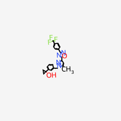 Cc1cc(-c2nc(-c3ccc(C(F)(F)F)cc3)no2)nn1Cc1cccc(C2(O)CC2)c1